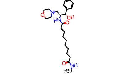 CCCCNC(=O)CCCCCCCCC(=O)N[C@@H](CN1CCOCC1)[C@@H](O)c1ccccc1